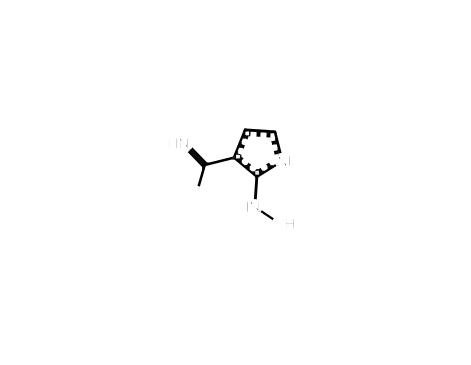 CNc1[nH]ccc1C(=N)Cl